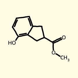 COC(=O)C1Cc2cccc(O)c2C1